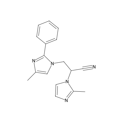 Cc1cn(CC(C#N)n2ccnc2C)c(-c2ccccc2)n1